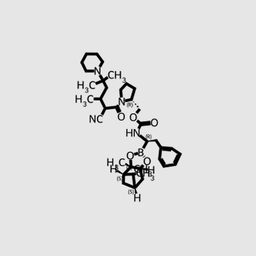 CC(CC(C)(C)N1CCCCC1)C(C#N)C(=O)N1CCC[C@@H]1COC(=O)N[C@@H](Cc1ccccc1)B1O[C@@H]2C[C@@H]3C[C@@H](C3(C)C)[C@]2(C)O1